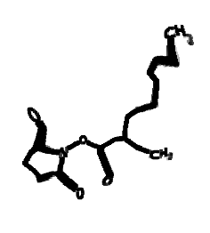 CCCCCC(C)C(=O)ON1C(=O)CCC1=O